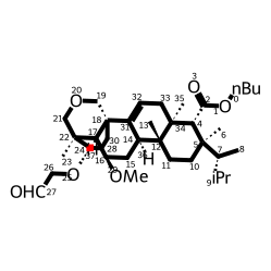 CCCCOC(=O)[C@@H]1[C@@](C)([C@H](C)C(C)C)CC[C@]2(C)[C@H]3CC[C@@H]4[C@@]5(COC[C@]4(C)[C@@H](OCC=O)[C@H](OC)C5)C3=CC[C@@]12C